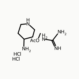 COC(C)=O.Cl.Cl.N=C(N)N.NC1CCNCC1